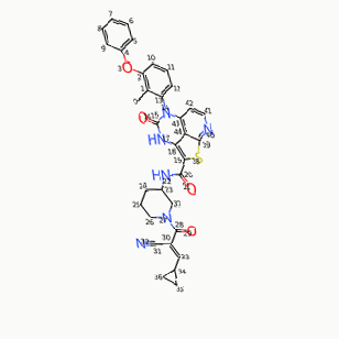 Cc1c(Oc2ccccc2)cccc1N1C(=O)Nc2c(C(=O)NC3CCCN(C(=O)C(C#N)=CC4CC4)C3)sc3nccc1c23